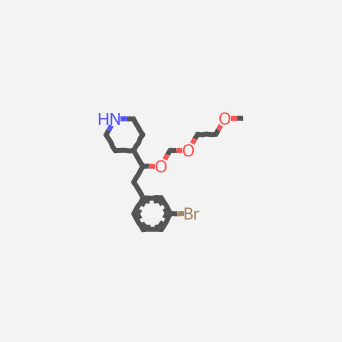 COCCOCOC(Cc1cccc(Br)c1)C1CCNCC1